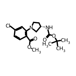 COC(=O)c1ccc(Cl)cc1N1CC[C@H](NC(=O)OC(C)(C)C)C1